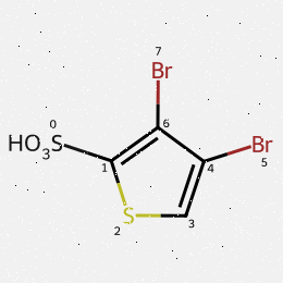 O=S(=O)(O)c1scc(Br)c1Br